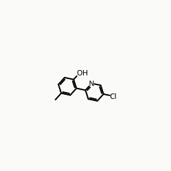 Cc1ccc(O)c(-c2ccc(Cl)cn2)c1